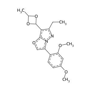 CCc1nn2c(-c3ccc(OC)cc3OC)coc2c1C1OC(C)O1